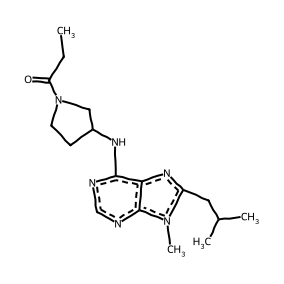 CCC(=O)N1CCC(Nc2ncnc3c2nc(CC(C)C)n3C)C1